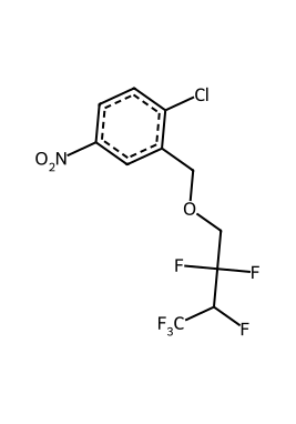 O=[N+]([O-])c1ccc(Cl)c(COCC(F)(F)C(F)C(F)(F)F)c1